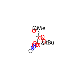 COC(=O)CC[C@H](C)/C=C/C=C(\C)[C@H]1OC(=O)C[C@H](O[Si](C)(C)C(C)(C)C)CC[C@@](C)(O)[C@@H](OC(=O)N2CCN(C3CCCCCC3)CC2)/C=C/[C@@H]1C